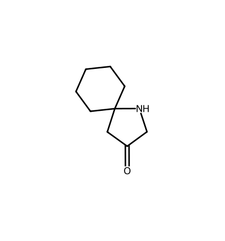 O=C1CNC2(CCCCC2)C1